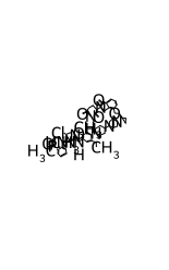 CCc1cc(Nc2ncc(Cl)c(Nc3ccccc3P(C)(C)=O)n2)c(OC)cc1N1CCC(N2CCN(C3(COc4cccc5c4CN(C4CCC(=O)NC4=O)C5=O)CC3)CC2)CC1